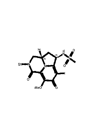 CCN1C[C@@H]2C[C@@H](NS(C)(=O)=O)c3c(I)c(=O)c(OC)c(n32)C1=O